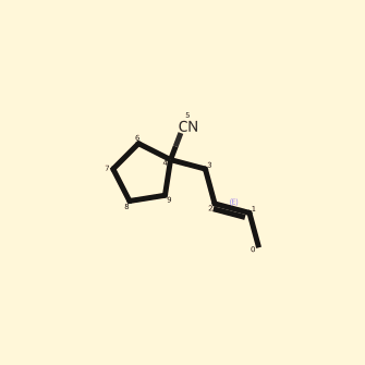 C/C=C/CC1(C#N)CCCC1